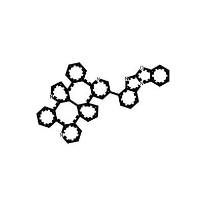 c1ccc2c(c1)oc1nc3c(-c4cnc5c(c4)c4cccc6c4-c4c(ccnc4c4ccccc4c4ncccc64)c4ccccc45)cccc3n12